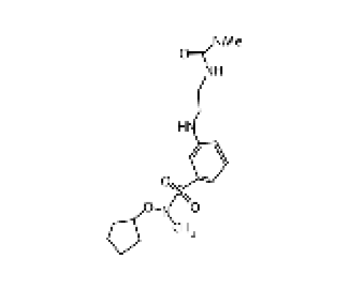 CNC(=O)NCCNc1cccc(S(=O)(=O)N(C)OC2CCCC2)c1